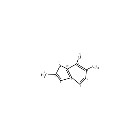 Cc1cc2ccc(C)c(Cl)c2s1